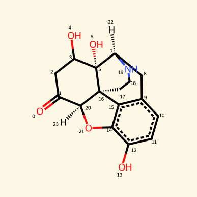 O=C1CC(O)[C@@]2(O)[C@H]3Cc4ccc(O)c5c4[C@@]2(CCN3)[C@H]1O5